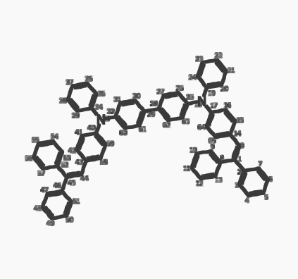 C(=C(c1ccccc1)c1ccccc1)c1ccc(N(c2ccccc2)c2ccc(-c3ccc(N(c4ccccc4)c4ccc(C=C(c5ccccc5)c5ccccc5)cc4)cc3)cc2)cc1